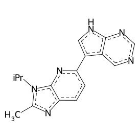 Cc1nc2ccc(-c3c[nH]c4ncncc34)nc2n1C(C)C